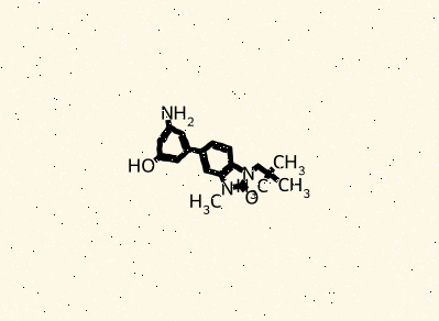 Cn1c(=O)n(CC(C)(C)C)c2ccc(-c3cc(N)cc(O)c3)cc21